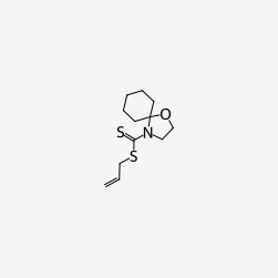 C=CCSC(=S)N1CCOC12CCCCC2